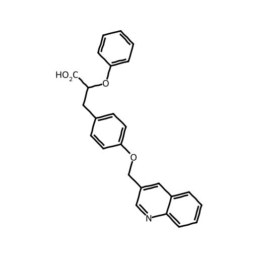 O=C(O)C(Cc1ccc(OCc2cnc3ccccc3c2)cc1)Oc1ccccc1